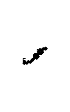 C=CCc1ccc(-c2ccc(C#CCCCC(C)F)cc2)nc1